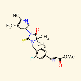 COC(=O)/C=C/c1ccc(CN2C(=S)N(c3cnc(C#N)c(C(F)(F)F)c3)C(=O)C2(C)C)c(F)c1